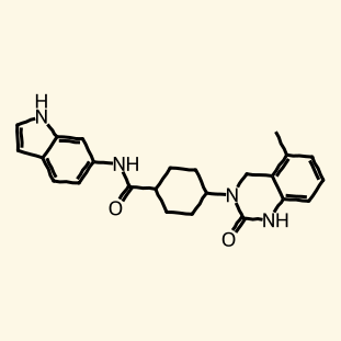 Cc1cccc2c1CN(C1CCC(C(=O)Nc3ccc4cc[nH]c4c3)CC1)C(=O)N2